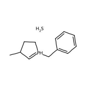 CC1C=[PH](Cc2ccccc2)CC1.S